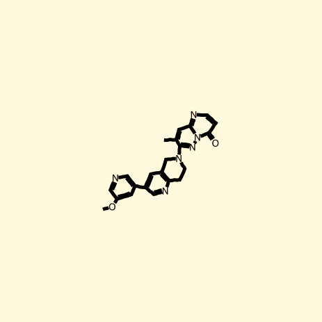 COc1cncc(-c2cnc3c(c2)CN(c2nn4c(=O)ccnc4cc2C)CC3)c1